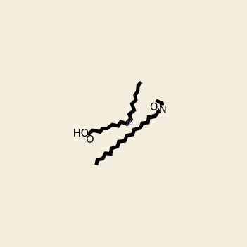 CCCCCCCC/C=C\CCCCCCCC(=O)O.CCCCCCCCCCCCCCCC=CC1=NCCO1